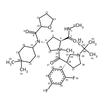 CNC(=O)[C@@H]1C[C@@H](N(C(=O)C2CCCO2)C2CCC(C)(C)CC2)C[N+]1(C)C(=O)[C@]1(c2ccc(F)cc2F)CCN(C(C)(C)C)C1